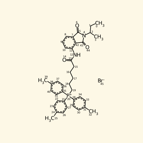 CCC(C)N1C(=O)c2cccc(NC(=O)CCCCC[P+](c3ccc(C)cc3)(c3ccc(C)cc3)c3ccc(C)cc3)c2C1=O.[Br-]